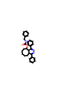 O=C(NCc1ccccc1)OC1CCCCCC2C(c3ccccc3)=NN=C(c3ccccc3)C12